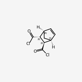 O=C(Cl)[C@H]1[C@H](C(=O)Cl)[C@H]2C=C[C@@H]1C2